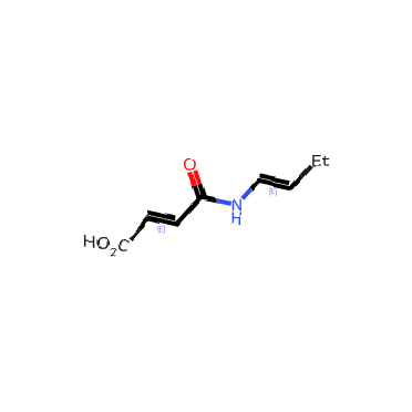 CC/C=C/NC(=O)/C=C/C(=O)O